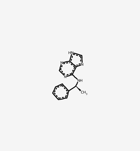 C[C@H](Nc1ncnc2[nH]cnc12)c1ccccc1